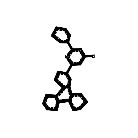 Clc1cc(-c2ccc3c4ccccc4c4ccccc4c3c2)nc(-c2ccccc2)n1